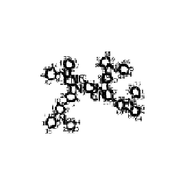 N#Cc1cc(-n2c3ccc(-c4ccc5c6ccccc6n(-c6ccccc6)c5c4)cc3c3cc4c(cc32)c2ccccc2n4-c2ccccc2)c(C#N)cc1-n1c2ccc(-c3ccc4c5ccccc5n(-c5ccccc5)c4c3)cc2c2cc3c(cc21)c1ccccc1n3-c1ccccc1